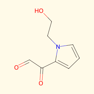 O=CC(=O)c1cccn1CCO